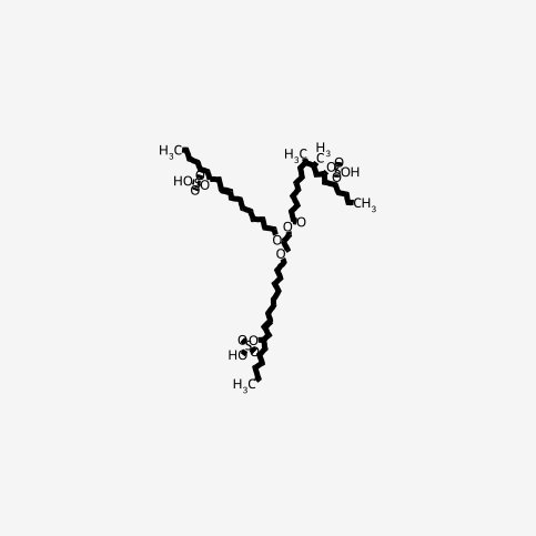 CCCCCCC(C/C=C/CCCCCCCCOCC(COC(=O)CCCCCCCC(C)C(C)CC(CCCCCC)OS(=O)(=O)O)OCCCCCCCC/C=C/CC(CCCCCC)OS(=O)(=O)O)OS(=O)(=O)O